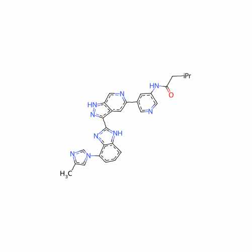 Cc1cn(-c2cccc3[nH]c(-c4n[nH]c5cnc(-c6cncc(NC(=O)CC(C)C)c6)cc45)nc23)cn1